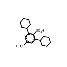 O=S(=O)(O)c1cc(C2CCCCC2)c(S(=O)(=O)O)c(C2CCCCC2)c1